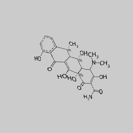 C[C@H]1c2cccc(O)c2C(=O)C2=C(O)[C@]3(O)C(=O)C(C(N)=O)=C(O)C(N(C)C)C3[C@@H](O)C21